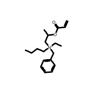 C=CC(=O)OC(C)C[N+](CC)(CCCC)Cc1ccccc1